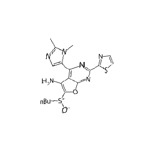 CCCC[S+]([O-])c1oc2nc(-c3nccs3)nc(-c3cnc(C)n3C)c2c1N